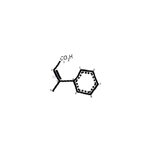 C/C(=C/C(=O)O)c1ccccc1